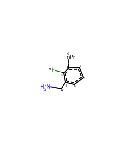 [CH2]CCc1cccc(CN)c1F